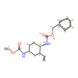 C=CC1CC(NC(=O)OC(C)(C)C)CC[C@H]1NC(=O)OCc1ccccc1